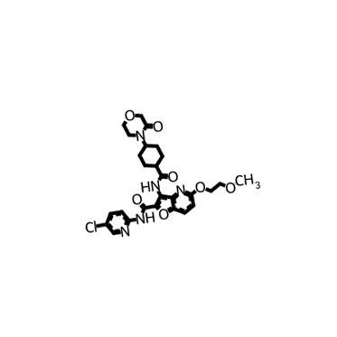 COCCOc1ccc2oc(C(=O)Nc3ccc(Cl)cn3)c(NC(=O)C3CCC(N4CCOCC4=O)CC3)c2n1